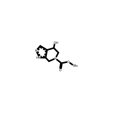 CC(C)(C)OC(=O)N1Cc2[nH]ncc2C(O)C1